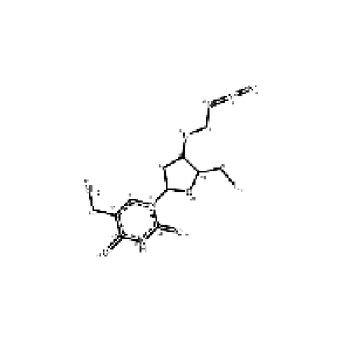 [N-]=[N+]=NCOC1CC(n2cc(CN)c(=O)[nH]c2=O)OC1CI